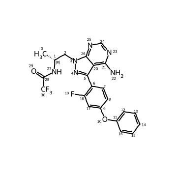 C[C@H](Cn1nc(-c2ccc(Oc3ccccc3)cc2F)c2c(N)ncnc21)NC(=O)C(F)(F)F